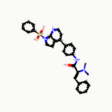 CN(C)C(=Cc1ccccc1)C(=O)Nc1ccc(-c2ccnc3c2ccn3S(=O)(=O)c2ccccc2)cc1